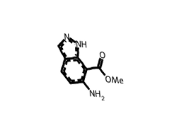 COC(=O)c1c(N)ccc2cn[nH]c12